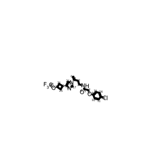 C=C(CCNC(=O)COc1ccc(Cl)cc1)n1cnc([C@H]2C[C@@H](OC(F)(F)F)C2)c1